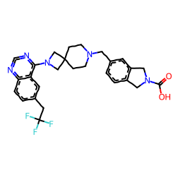 O=C(O)N1Cc2ccc(CN3CCC4(CC3)CN(c3ncnc5ccc(CC(F)(F)F)cc35)C4)cc2C1